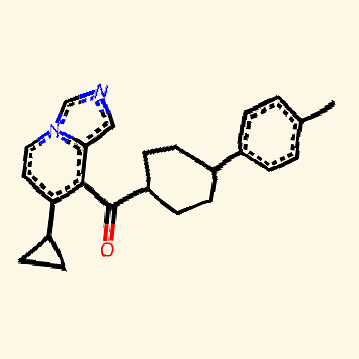 Cc1ccc(C2CCC(C(=O)c3c(C4CC4)ccn4cncc34)CC2)cc1